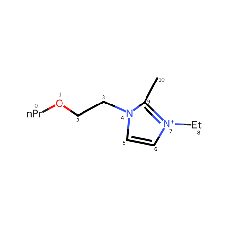 CCCOCCn1cc[n+](CC)c1C